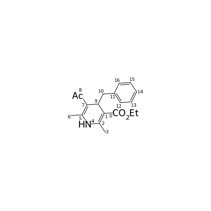 CCOC(=O)C1=C(C)NC(C)=C(C(C)=O)C1Cc1ccccc1